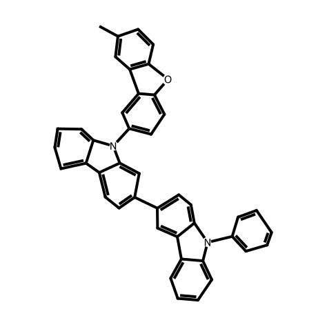 Cc1ccc2oc3ccc(-n4c5ccccc5c5ccc(-c6ccc7c(c6)c6ccccc6n7-c6ccccc6)cc54)cc3c2c1